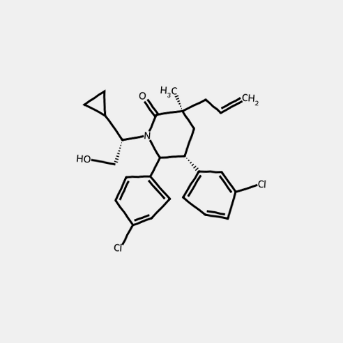 C=CC[C@@]1(C)C[C@H](c2cccc(Cl)c2)C(c2ccc(Cl)cc2)N([C@H](CO)C2CC2)C1=O